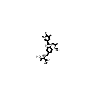 COC(C)Cn1c(-c2cc(C)c(=O)n(C)c2)nc2cc(CNC(C(=O)O)C(C)O)ccc21.Cl